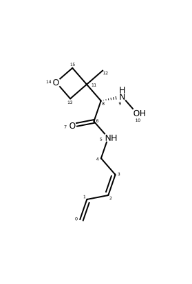 C=C/C=C\CNC(=O)[C@@H](NO)C1(C)COC1